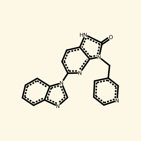 O=c1[nH]c2ccc(-n3cnc4ccccc43)nc2n1Cc1cccnc1